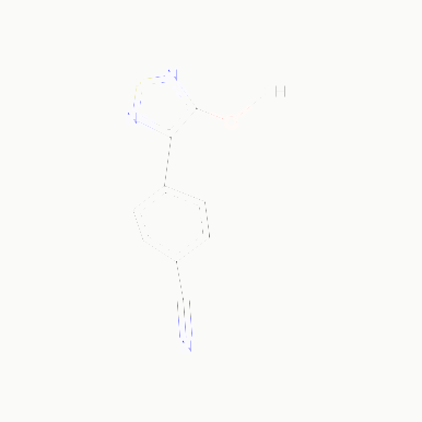 COc1nsnc1-c1ccc(C#N)cc1